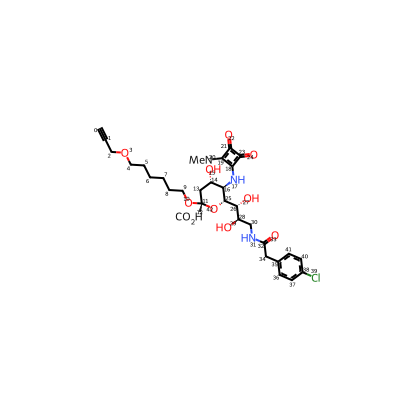 C#CCOCCCCCCO[C@]1(C(=O)O)C[C@H](O)[C@@H](Nc2c(NC)c(=O)c2=O)[C@H]([C@H](O)[C@H](O)CNC(=O)Cc2ccc(Cl)cc2)O1